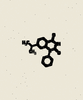 CC(C)c1ccc2c(=O)[nH]c(=O)n(-c3ccccc3)c2c1